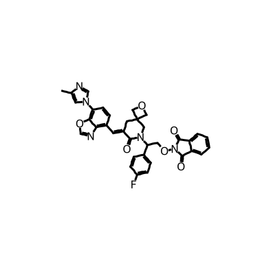 Cc1cn(-c2ccc(/C=C3\CC4(COC4)CN(C(CON4C(=O)c5ccccc5C4=O)c4ccc(F)cc4)C3=O)c3ncoc23)cn1